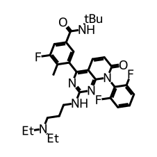 CCN(CC)CCCNc1nc(-c2cc(C(=O)NC(C)(C)C)cc(F)c2C)c2ccc(=O)n(-c3c(F)cccc3F)c2n1